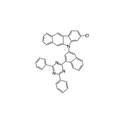 Clc1ccc2c3cc4ccccc4cc3n(-c3cc(-c4nc(-c5ccccc5)nc(-c5ccccc5)n4)c4ccccc4c3)c2c1